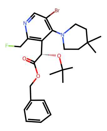 CC1(C)CCN(c2c(Br)cnc(CF)c2[C@H](OC(C)(C)C)C(=O)OCc2ccccc2)CC1